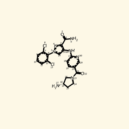 NC(=O)c1nn(-c2c(Cl)cccc2Cl)cc1Nc1ccc(C(=O)N2CC[C@H](N)C2)cn1